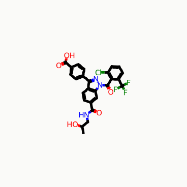 CC(O)CNC(=O)c1ccc2c(-c3ccc(C(=O)O)cc3)nn(C(=O)c3c(Cl)cccc3C(F)(F)F)c2c1